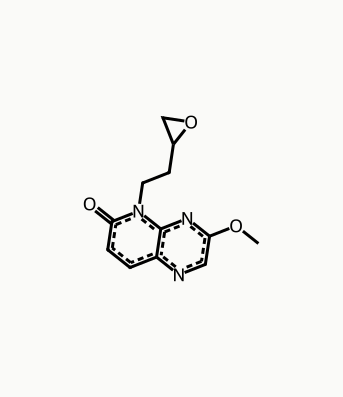 COc1cnc2ccc(=O)n(CCC3CO3)c2n1